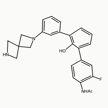 CC(=O)Nc1ccc(-c2cccc(-c3cccc(N4CC5(CNC5)C4)c3)c2O)cc1F